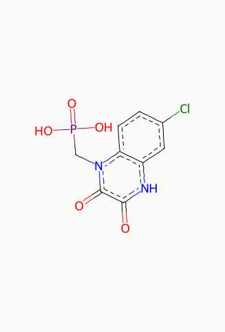 O=c1[nH]c2cc(Cl)ccc2n(CP(=O)(O)O)c1=O